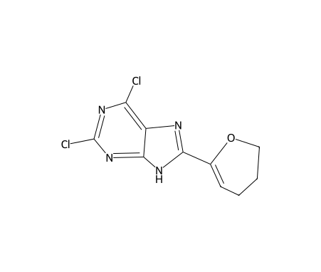 Clc1nc(Cl)c2nc(C3=CCCCO3)[nH]c2n1